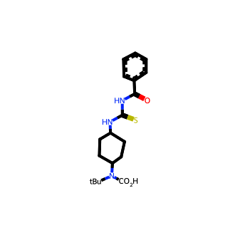 CC(C)(C)N(C(=O)O)C1CCC(NC(=S)NC(=O)c2ccccc2)CC1